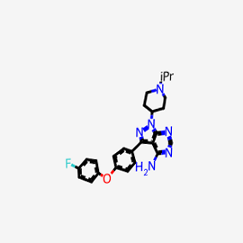 CC(C)N1CCC(n2nc(-c3ccc(Oc4ccc(F)cc4)cc3)c3c(N)ncnc32)CC1